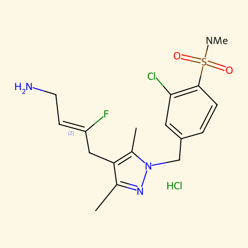 CNS(=O)(=O)c1ccc(Cn2nc(C)c(C/C(F)=C/CN)c2C)cc1Cl.Cl